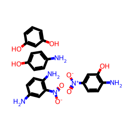 Nc1ccc(N)c([N+](=O)[O-])c1.Nc1ccc(O)cc1.Nc1ccc([N+](=O)[O-])cc1O.Oc1cccc(O)c1